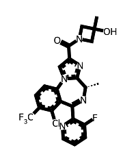 C[C@@H]1N=C(c2ncccc2F)c2c(ccc(C(F)(F)F)c2Cl)-n2cc(C(=O)N3CC(C)(O)C3)nc21